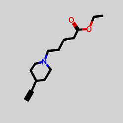 C#CC1CCN(CCCCC(=O)OCC)CC1